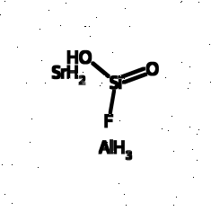 O=[Si](O)F.[AlH3].[SrH2]